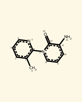 Cc1cccnc1-n1cccc(N)c1=O